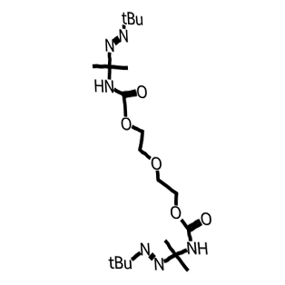 CC(C)(C)N=NC(C)(C)NC(=O)OCCOCCOC(=O)NC(C)(C)N=NC(C)(C)C